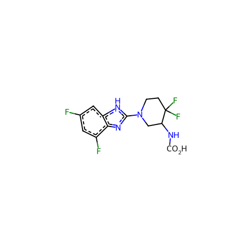 O=C(O)NC1CN(c2nc3c(F)cc(F)cc3[nH]2)CCC1(F)F